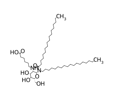 CCCCCCCCCCCCCCCCCCN(C(=O)CCCCCCCCCCCCCCCCC)[C@@H]1O[C@H](CO)[C@@H](O)[C@H](O)[C@@H]1NCCCCCC(=O)O